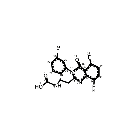 O=C(O)NCCc1nc2c(F)ccc(F)c2c(=O)n1-c1cccc(F)c1